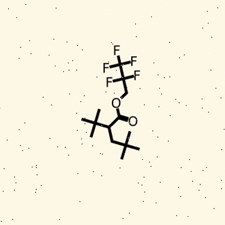 CC(C)(C)CC(C(=O)OCC(F)(F)C(F)(F)F)C(C)(C)C